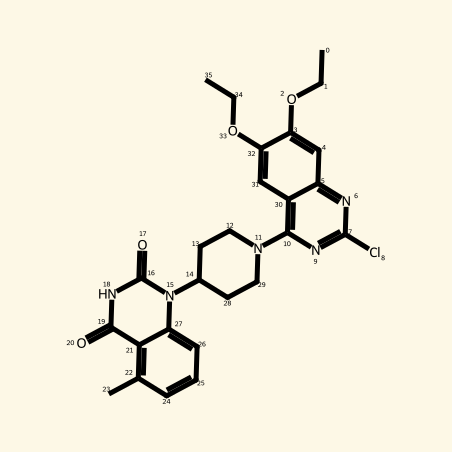 CCOc1cc2nc(Cl)nc(N3CCC(n4c(=O)[nH]c(=O)c5c(C)cccc54)CC3)c2cc1OCC